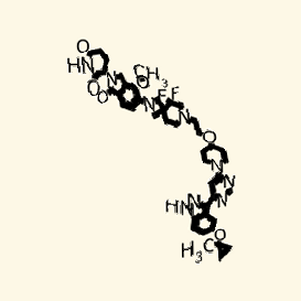 COc1c(N2CC3(CCN(CCOC4CCN(c5cc(-c6n[nH]c7ccc(OC8(C)CC8)cc67)ncn5)CC4)CC3(F)F)C2)ccc2c1CN(C1CCC(=O)NC1=O)C2=O